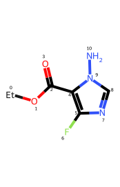 CCOC(=O)c1c(F)ncn1N